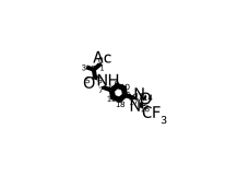 CC(=O)CC(C)C(=O)NCc1ccc(-c2noc(C(F)(F)F)n2)cc1